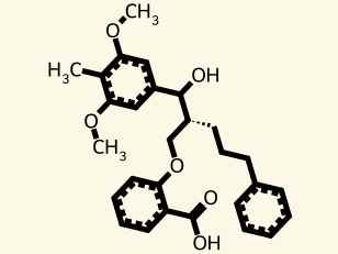 COc1cc(C(O)[C@H](CCCc2ccccc2)COc2ccccc2C(=O)O)cc(OC)c1C